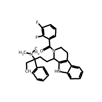 CCC(CCC1c2[nH]c3ccccc3c2CCN1C(=O)c1cccc(F)c1F)(c1ccccc1)N(C)C